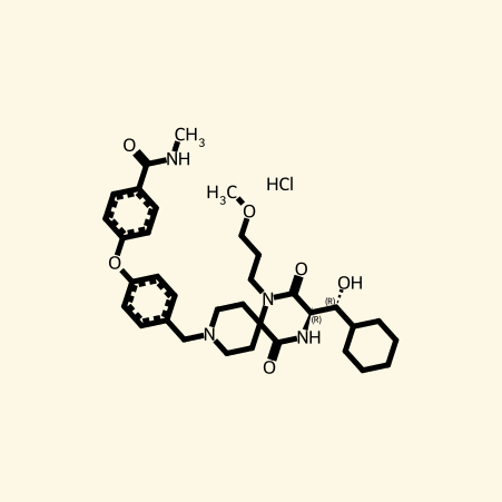 CNC(=O)c1ccc(Oc2ccc(CN3CCC4(CC3)C(=O)N[C@H]([C@H](O)C3CCCCC3)C(=O)N4CCCOC)cc2)cc1.Cl